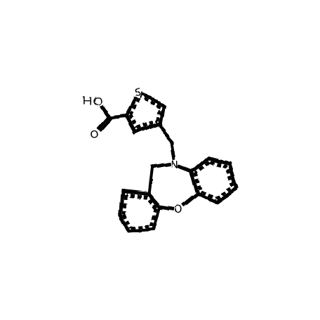 O=C(O)c1cc(CN2Cc3ccccc3Oc3ccccc32)cs1